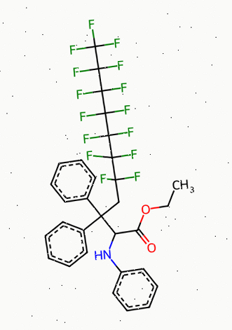 CCOC(=O)C(Nc1ccccc1)C(CC(F)(F)C(F)(F)C(F)(F)C(F)(F)C(F)(F)C(F)(F)C(F)(F)F)(c1ccccc1)c1ccccc1